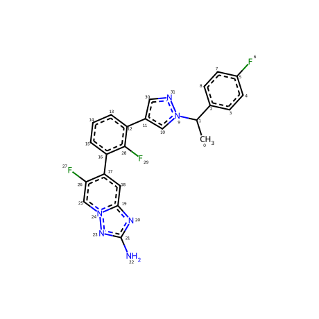 CC(c1ccc(F)cc1)n1cc(-c2cccc(-c3cc4nc(N)nn4cc3F)c2F)cn1